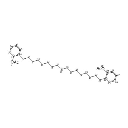 CC(=O)Oc1ccccc1CCCCCCCCSCCCCCCCCc1ccccc1OC(C)=O